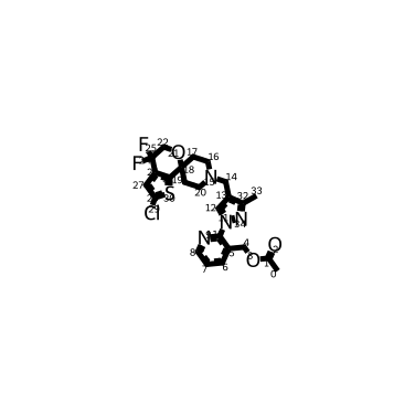 CC(=O)OCc1cccnc1-n1cc(CN2CCC3(CC2)OCC(F)(F)c2cc(Cl)sc23)c(C)n1